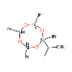 CC(C)COC(C)[Si]1(C(C)C)O[SiH](C(C)C)O[SiH](C(C)C)O[SiH](C(C)C)O1